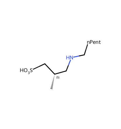 CCCCCCNC[C@H](C)CS(=O)(=O)O